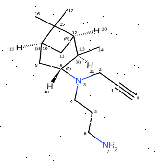 C#CCN(CCCN)[C@@H]1C[C@@H]2C[C@H]([C@H]1C)C2(C)C